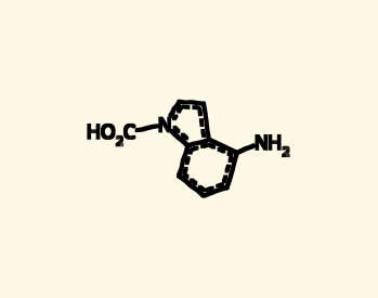 Nc1cccc2c1ccn2C(=O)O